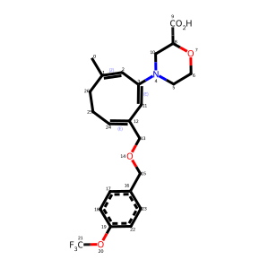 C/C1=C/C(N2CCOC(C(=O)O)C2)=C\C(COCc2ccc(OC(F)(F)F)cc2)=C/CC1